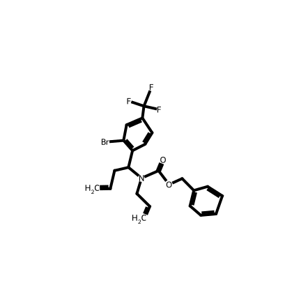 C=CCC(c1ccc(C(F)(F)F)cc1Br)N(CC=C)C(=O)OCc1ccccc1